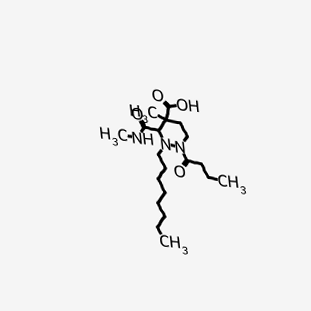 CCCCCCCCN1C(C(=O)NC)C(C)(C(=O)O)CCN1C(=O)CCC